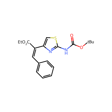 CCOC(=O)/C(=C/c1ccccc1)c1csc(NC(=O)OC(C)(C)C)n1